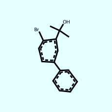 CC(C)(O)c1cc(-c2ccccc2)ccc1Br